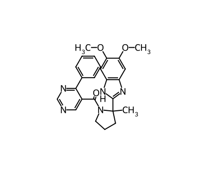 COc1cc2nc(C3(C)CCCN3C(=O)c3cncnc3-c3ccccc3)[nH]c2cc1OC